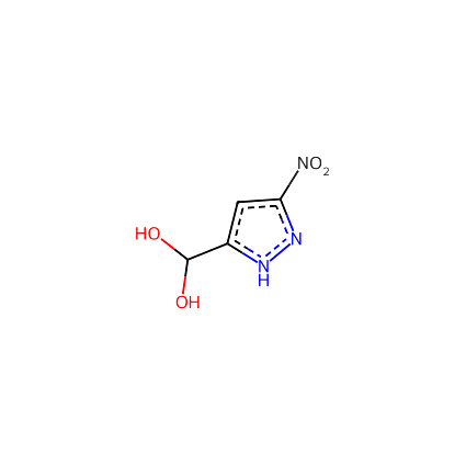 O=[N+]([O-])c1cc(C(O)O)[nH]n1